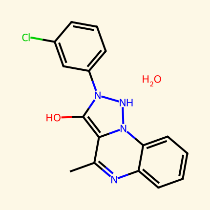 CC1=Nc2ccccc2N2NN(c3cccc(Cl)c3)C(O)=C12.O